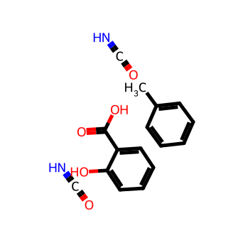 Cc1ccccc1.N=C=O.N=C=O.O=C(O)c1ccccc1O